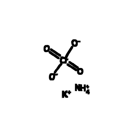 [K+].[NH4+].[O]=[Cr](=[O])([O-])[O-]